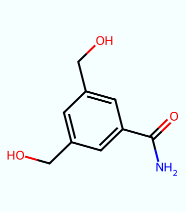 NC(=O)c1cc(CO)cc(CO)c1